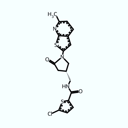 Cc1ccc2cc(N3C[C@H](CNC(=O)c4ccc(Cl)s4)CC3=O)sc2n1